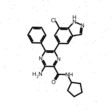 Nc1nc(-c2ccccc2)c(-c2cc(Cl)c3[nH]ncc3c2)nc1C(=O)NC1CCCC1